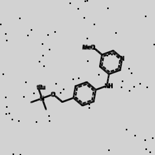 COc1cncc(Nc2ccc(CO[Si](C)(C)C(C)(C)C)cc2)c1